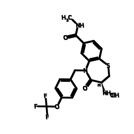 CNC(=O)c1ccc2c(c1)N(Cc1ccc(OC(F)(F)F)cc1)C(=O)[C@@H](N)CS2.Cl